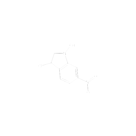 CN1CC(Cl)c2ccc([N+](=O)[O-])cc21